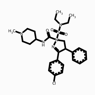 CCN(CC)S(=O)(=O)[N+]1(C(=O)NC2CCN(C)CC2)CC(c2ccccc2)C(c2ccc(Cl)cc2)=N1